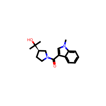 Cn1cc(C(=O)N2CC[C@@H](C(C)(C)O)C2)c2ccccc21